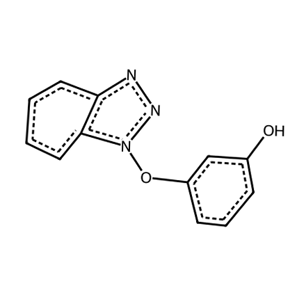 Oc1cccc(On2nnc3ccccc32)c1